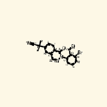 CC(C)(C#N)c1ccc2c(=O)n(-c3cccc(Br)c3C=O)ncc2c1